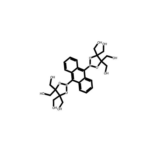 OCC1(CO)OB(c2c3ccccc3c(B3OC(CO)(CO)C(CO)(CO)O3)c3ccccc23)OC1(CO)CO